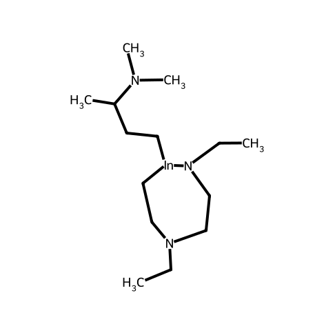 CCN1CC[N](CC)[In]([CH2]CC(C)N(C)C)[CH2]C1